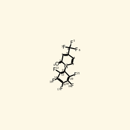 O=c1cc(C(F)(F)F)ccn1-c1c(F)c(F)c(F)c(F)c1F